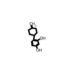 C=C1CCC(c2ccc(O)cc2O)CC1